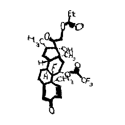 CCC(=O)OCC(=O)[C@]1(O)[C@@H](C)C[C@H]2[C@@H]3CCC4=CC(=O)C=C[C@]4(C)[C@@]3(F)[C@@H](OC(=O)C(F)(F)F)C[C@@]21C